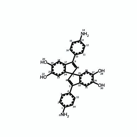 Nc1ccc(C2=CC3(C=C(c4ccc(N)cc4)c4cc(O)c(O)cc43)c3cc(O)c(O)cc32)cc1